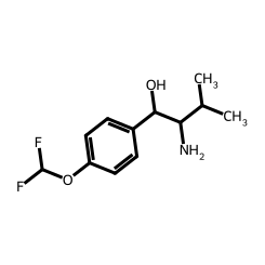 CC(C)C(N)C(O)c1ccc(OC(F)F)cc1